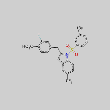 CC(C)(C)c1cccc(S(=O)(=O)n2c(Cc3ccc(C(=O)O)c(F)c3)cc3cc(C(F)(F)F)ccc32)c1